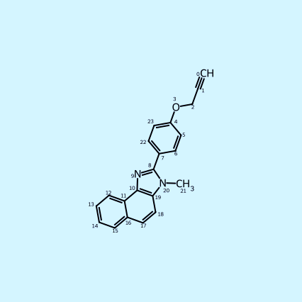 C#CCOc1ccc(-c2nc3c4ccccc4ccc3n2C)cc1